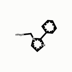 CCCCCCCCn1ccnc1-c1ccccc1